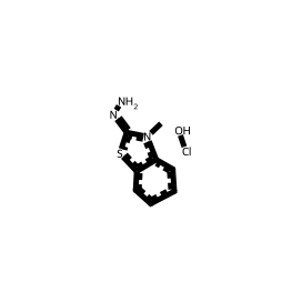 Cn1c(=NN)sc2ccccc21.OCl